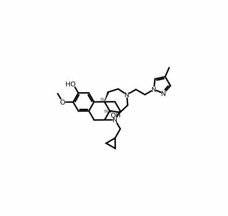 COc1cc2c(cc1O)[C@@]13CCN(CCn4cc(C)cn4)CC[C@@]1(O)C(C2)N(CC1CC1)CC3